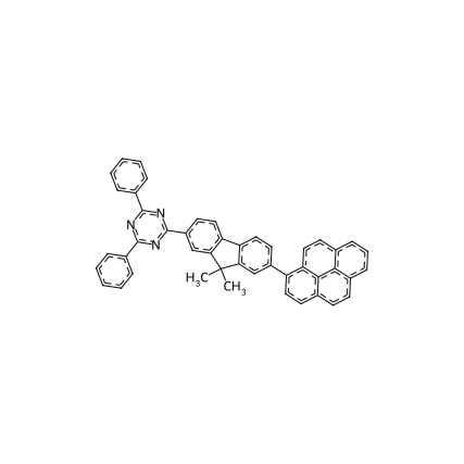 CC1(C)c2cc(-c3nc(-c4ccccc4)nc(-c4ccccc4)n3)ccc2-c2ccc(-c3ccc4ccc5cccc6ccc3c4c56)cc21